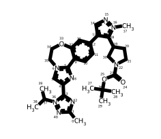 Cc1nc(-c2cn3c(n2)-c2ccc(-c4cnn(C)c4C4CCN(C(=O)OC(C)(C)C)C4)cc2OCC3)n(C(C)C)n1